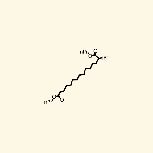 CCCOC(=O)CCCCCCCCCCCCC(C(=O)OCCC)C(C)C